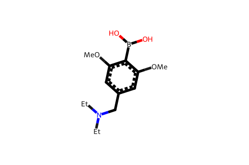 CCN(CC)Cc1cc(OC)c(B(O)O)c(OC)c1